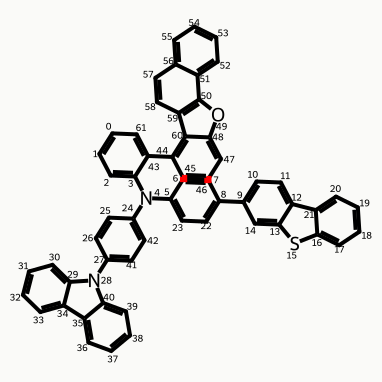 c1ccc(N(c2ccc(-c3ccc4c(c3)sc3ccccc34)cc2)c2ccc(-n3c4ccccc4c4ccccc43)cc2)c(-c2cccc3oc4c5ccccc5ccc4c23)c1